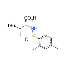 Cc1cc(C)c([S@+]([O-])N[C@H](C(=O)O)C(C)C(C)(C)C)c(C)c1